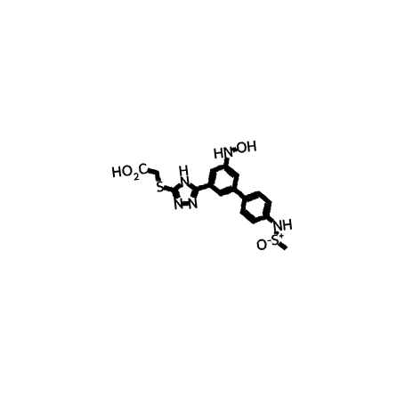 C[S+]([O-])Nc1ccc(-c2cc(NO)cc(-c3nnc(SCC(=O)O)[nH]3)c2)cc1